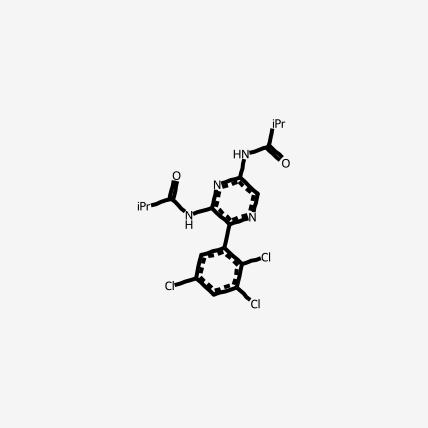 CC(C)C(=O)Nc1cnc(-c2cc(Cl)cc(Cl)c2Cl)c(NC(=O)C(C)C)n1